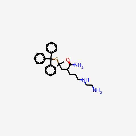 CC(C)(CC(CCCNCCN)C(N)=O)SC(c1ccccc1)(c1ccccc1)c1ccccc1